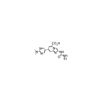 CCNC(=O)Nc1cn2c(C(=O)O)cc(-c3cnc(N(C)C)nc3)cc2n1